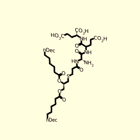 CCCCCCCCCCCCCCCC(=O)OC[C@H](CSCCC(=O)N[C@@H](N)C(=O)NC(CCC(=O)O)C(=O)N[C@H](CCC(=O)O)C(=O)O)OC(=O)CCCCCCCCCCCCCCC